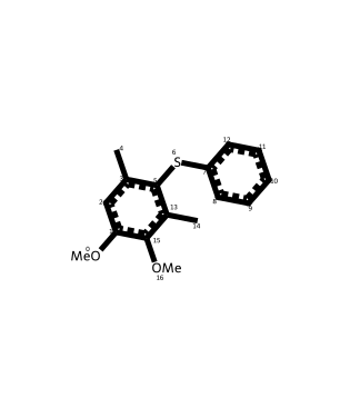 COc1cc(C)c(Sc2ccccc2)c(C)c1OC